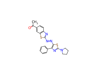 CC(=O)c1ccc2nc(/N=N/c3sc(N4CCCC4)nc3-c3ccccc3)sc2c1